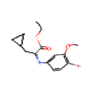 CCOC(=O)C(CC1CC1)=Nc1ccc(Br)c(OC)c1